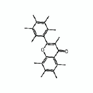 Cc1c(C)c(C)c(-c2oc3c(C)c(C)c(C)c(C)c3c(=O)c2C)c(C)c1C